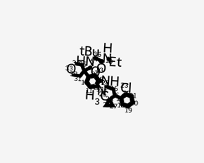 CCNC(=O)C(NC(=O)C1(c2ccc3nc(CC(c4ccccc4Cl)C4(C)CC4)[nH]c3c2)CCOCC1)C(C)(C)C